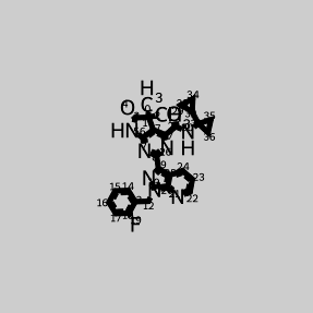 CC1(C)C(=O)Nc2nc(-c3nn(Cc4ccccc4F)c4ncccc34)nc(C(=O)NC3(C4CC4)CC3)c21